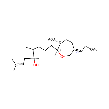 CC(=O)OC/C=C1\CC[C@@H](OC(C)=O)[C@](C)(CCCC(C)C(C)(O)CC=C(C)C)OC1